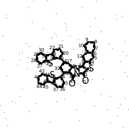 O=c1c2sc3cc4ccccc4cc3c2n2c3cc(-c4cccc5c4sc4ccccc45)cc(-c4cccc5c4sc4ccccc45)c3c(=O)n12